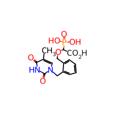 Cc1cn(Cc2ccccc2COC(C(=O)O)P(=O)(O)O)c(=O)[nH]c1=O